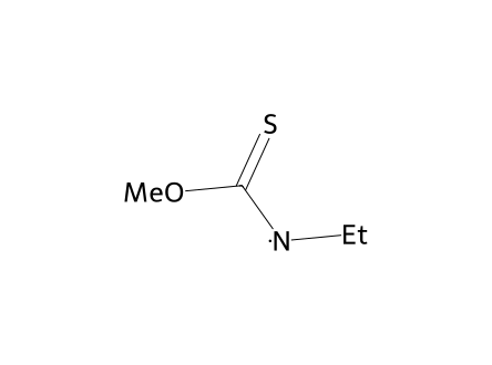 CC[N]C(=S)OC